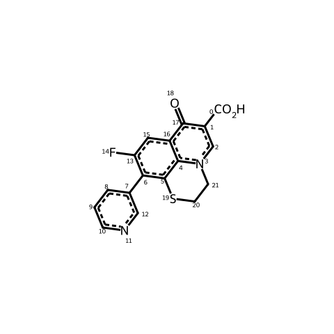 O=C(O)c1cn2c3c(c(-c4cccnc4)c(F)cc3c1=O)SCC2